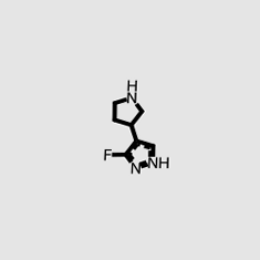 Fc1n[nH]cc1C1CCNC1